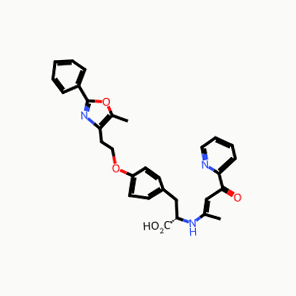 C/C(=C\C(=O)c1ccccn1)N[C@@H](Cc1ccc(OCCc2nc(-c3ccccc3)oc2C)cc1)C(=O)O